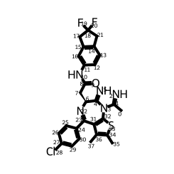 CC(=N)N1C(=N)[C@H](CC(=O)Nc2ccc3c(c2)CC(F)(F)C3)N=C(c2ccc(Cl)cc2)c2c1sc(C)c2C